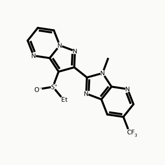 CC[S+]([O-])c1c(-c2nc3cc(C(F)(F)F)cnc3n2C)nn2cccnc12